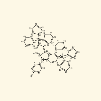 Fc1ccc(-n2c3ccc([Si](c4ccccc4)(c4ccccc4)c4ccccc4)cc3c3cc([Si](c4ccccc4)(c4ccccc4)c4ccccc4)ccc32)cc1